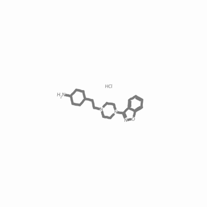 Cl.NC1CCC(CCN2CCN(c3noc4ccccc34)CC2)CC1